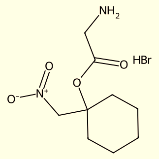 Br.NCC(=O)OC1(C[N+](=O)[O-])CCCCC1